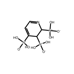 [O-][N+](O)(O)C1=CC=NC([N+]([O-])(O)O)C1[N+]([O-])(O)O